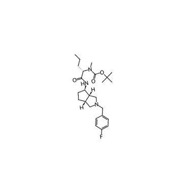 CCC[C@@H](C(=O)N[C@@H]1CC[C@H]2CN(Cc3ccc(F)cc3)C[C@H]21)N(C)C(=O)OC(C)(C)C